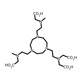 CN(CCN1CCN(CCN(C)CC(=O)O)CCN(CCN(CC(=O)O)CC(=O)O)CC1)CC(=O)O